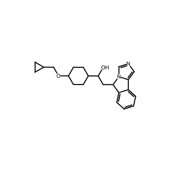 OC(CC1c2ccccc2-c2cncn21)C1CCC(OCC2CC2)CC1